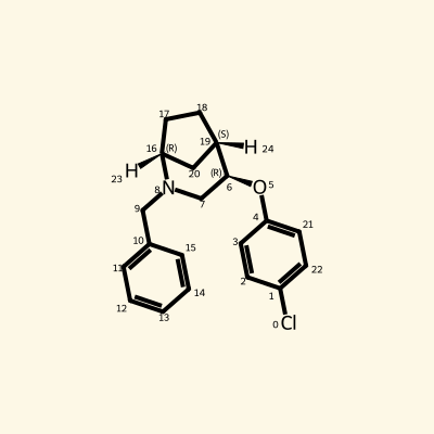 Clc1ccc(O[C@H]2CN(Cc3ccccc3)[C@@H]3CC[C@H]2C3)cc1